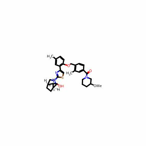 COC1CCCN(C(=O)c2ccc(COc3ccc(C)cc3-c3csc(N4C[C@H]5CC[C@@H](C4)[C@H]5CO)n3)c(C)c2)C1